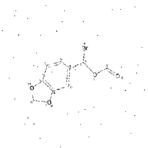 O=COC(Br)c1ccc2c(c1)OCO2